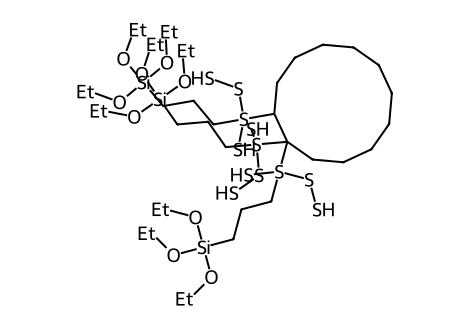 CCO[Si](CCCS(S)(SS)C1CCCCCCCCCCC1(S(S)(CCC[Si](OCC)(OCC)OCC)SS)S(S)(CCC[Si](OCC)(OCC)OCC)SS)(OCC)OCC